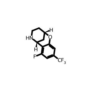 Fc1cc(C(F)(F)F)cc2c1[C@H]1C[C@H](CCN1)O2